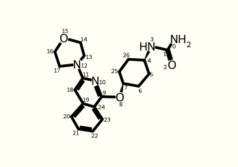 NC(=O)N[C@H]1CC[C@@H](Oc2nc(N3CCOCC3)cc3ccccc23)CC1